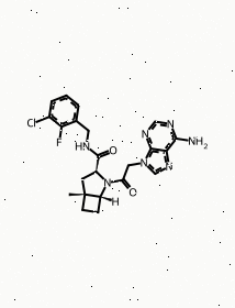 C[C@]12CC[C@H]1N(C(=O)Cn1cnc3c(N)ncnc31)[C@H](C(=O)NCc1cccc(Cl)c1F)C2